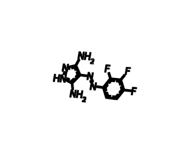 Nc1n[nH]c(N)c1N=Nc1ccc(F)c(F)c1F